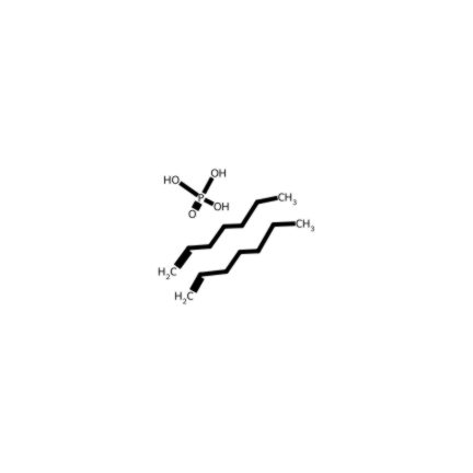 C=CCCCCC.C=CCCCCC.O=P(O)(O)O